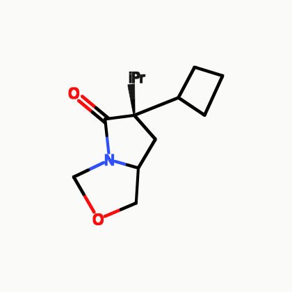 CC(C)[C@@]1(C2CCC2)CC2COCN2C1=O